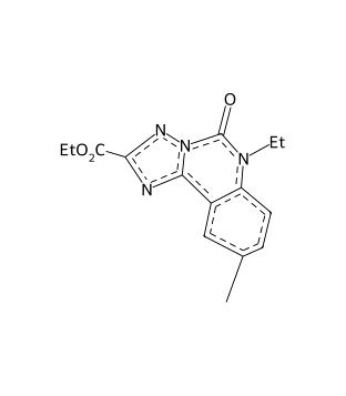 CCOC(=O)c1nc2c3cc(C)ccc3n(CC)c(=O)n2n1